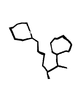 [CH2]C(C(C)CCCCC1CCCCCC1)C1CCCCCC1